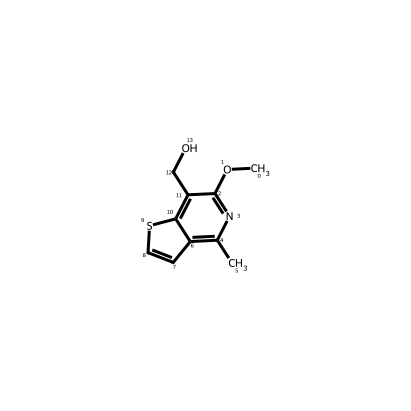 COc1nc(C)c2ccsc2c1CO